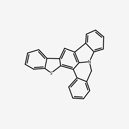 c1ccc2c(c1)Cn1c3ccccc3c3cc4c(sc5ccccc54)c-2c31